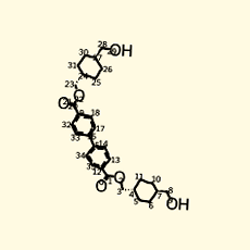 O=C(OC[C@H]1CC[C@H](CO)CC1)c1ccc(-c2ccc(C(=O)OC[C@H]3CC[C@H](CO)CC3)cc2)cc1